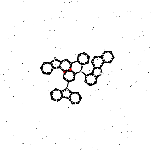 c1cc(N(c2ccccc2-c2ccc3c(c2)sc2ccccc23)c2cccc3oc4c5ccccc5ccc4c23)cc(-n2c3ccccc3c3ccccc32)c1